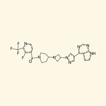 O=C(c1ccnc(C(F)(F)F)c1F)N1CCC(N2C[C](n3cc(-c4ncnc5[nH]ccc45)cn3)C2)CC1